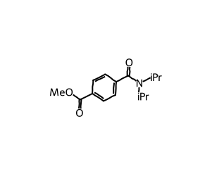 COC(=O)c1ccc(C(=O)N(C(C)C)C(C)C)cc1